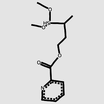 CO[SiH](OC)C(C)CCOC(=O)c1ccccn1